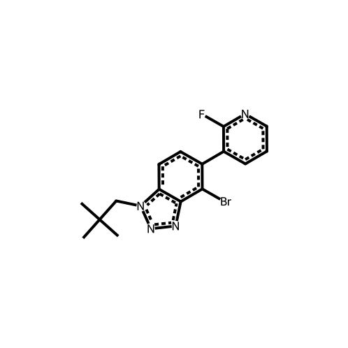 CC(C)(C)Cn1nnc2c(Br)c(-c3cccnc3F)ccc21